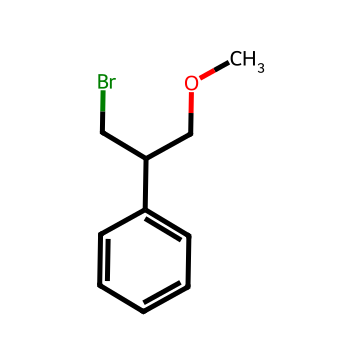 COCC(CBr)c1ccccc1